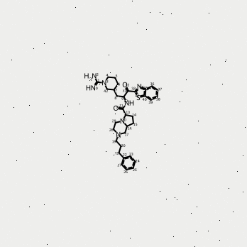 N=C(N)N1CCCC(CC(NC(=O)C2CCC3CN(CCCc4ccccc4)CCN32)C(=O)c2nc3ccccc3s2)C1